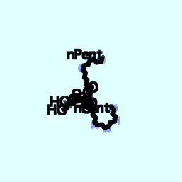 CCCCC/C=C\C/C=C\C/C=C\C/C=C\CCCC(=O)O[C@H](COC(=O)CCCC/C=C\C/C=C\C/C=C\CCCCC)COP(=O)(O)OC[C@@H](O)CO